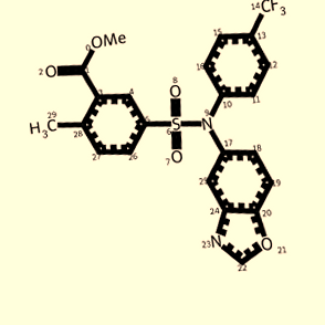 COC(=O)c1cc(S(=O)(=O)N(c2ccc(C(F)(F)F)cc2)c2ccc3ocnc3c2)ccc1C